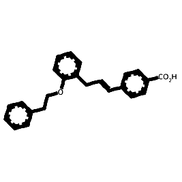 O=C(O)c1ccc(C=CCc2ccccc2OCCc2ccccc2)cc1